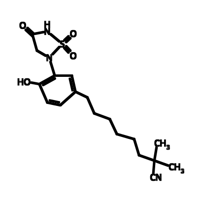 CC(C)(C#N)CCCCCCc1ccc(O)c(N2CC(=O)NS2(=O)=O)c1